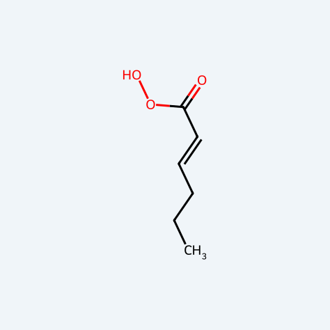 CCCC=CC(=O)OO